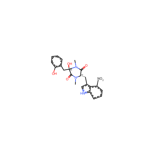 CN1C(=O)[C@](O)(Cc2ccccc2O)N(C)C(=O)[C@@H]1Cc1c[nH]c2cccc([N+](=O)[O-])c12